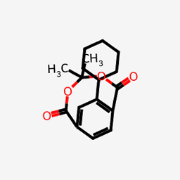 CC1(C)OC(=O)c2ccc(c(C3CCCCC3)c2)C(=O)O1